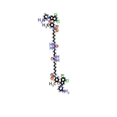 Cc1cc(N(CCCCCCCCNC(=O)NCCCCNC(=O)NCCCCCCCCN(c2ccc(O[C@H]3c4cc(Cl)cc(Cl)c4C[C@@H]3N3CCC[C@@H](N)C3)c(C)c2)[SH](=O)=O)[SH](=O)=O)ccc1O[C@H]1c2cc(Cl)cc(Cl)c2C[C@@H]1N1CCC[C@@H](N)C1